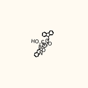 O=C(O)[C@@H]1CC(Oc2nc3ccccc3cc2Br)CN1C(=O)OCC1c2ccccc2-c2ccccc21